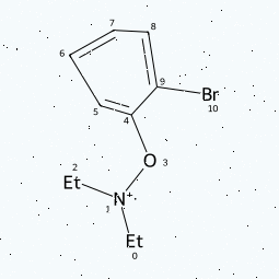 CC[N+](CC)Oc1ccccc1Br